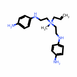 C=CC[N+](C)(CCNc1ccc(N)cc1)CCNc1ccc(N)cc1